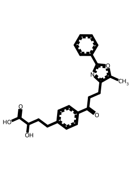 Cc1oc(-c2ccccc2)nc1CCC(=O)c1ccc(CCC(O)C(=O)O)cc1